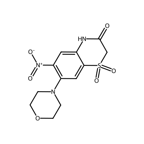 O=C1CS(=O)(=O)c2cc(N3CCOCC3)c([N+](=O)[O-])cc2N1